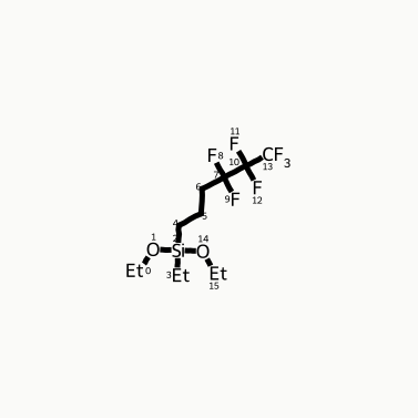 CCO[Si](CC)(CCCC(F)(F)C(F)(F)C(F)(F)F)OCC